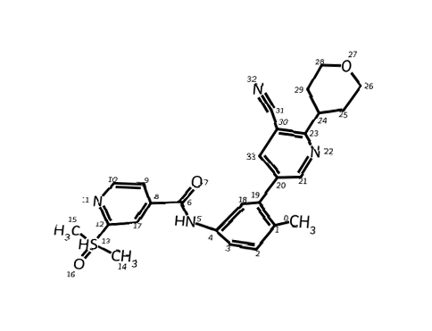 Cc1ccc(NC(=O)c2ccnc([SH](C)(C)=O)c2)cc1-c1cnc(C2CCOCC2)c(C#N)c1